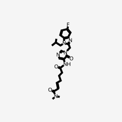 CC(C)Cn1c(Cn2cncc(NC(=O)CCC/C=C/C(=O)N(C)C)c2=O)nc2cc(F)ccc21